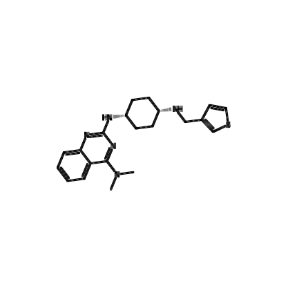 CN(C)c1nc(N[C@H]2CC[C@@H](NCc3ccsc3)CC2)nc2ccccc12